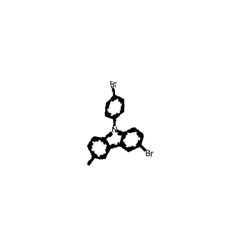 Cc1ccc2c(c1)c1cc(Br)ccc1n2-c1ccc(Br)cc1